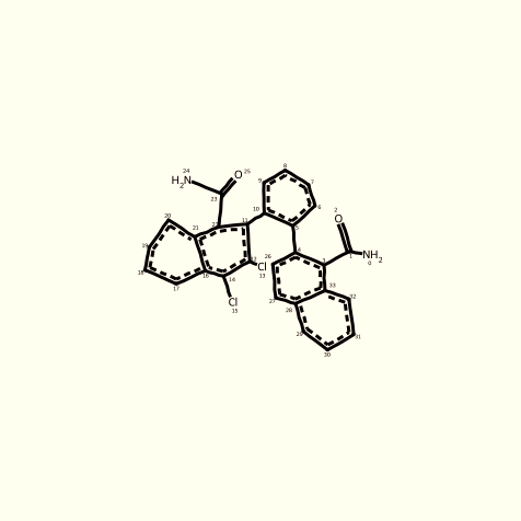 NC(=O)c1c(-c2ccccc2-c2c(Cl)c(Cl)c3ccccc3c2C(N)=O)ccc2ccccc12